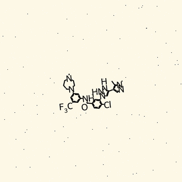 Cc1c(C2=CN(c3cc(C(=O)Nc4cc(N5CCCN(C)CC5)cc(C(F)(F)F)c4)ccc3Cl)NN2)cnn1C